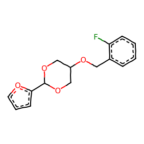 Fc1ccccc1COC1COC(c2ccco2)OC1